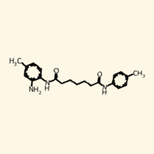 Cc1ccc(NC(=O)CCCCCC(=O)Nc2ccc(C)cc2N)cc1